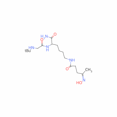 C/C(CCC(=O)NCCCCC(NC(=O)CNC(C)(C)C)C(N)=O)=N/O